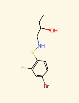 CC[C@@H](O)CNSc1ccc(Br)cc1F